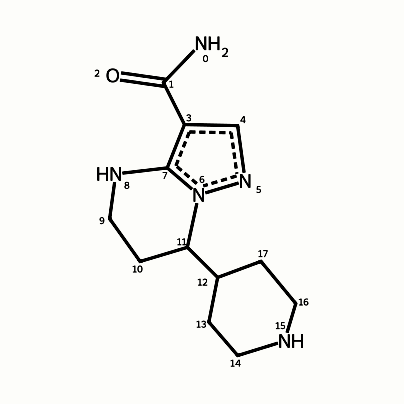 NC(=O)c1cnn2c1NCCC2C1CCNCC1